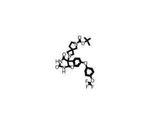 CC(C)(C)OC(=O)N1CCC2(C1)CN(C1(c3ccc(Oc4ccc(OC(F)(F)F)cc4)cc3)C(=O)NC(=O)NC1=O)C2